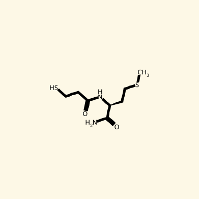 CSCC[C@H](NC(=O)CCS)C(N)=O